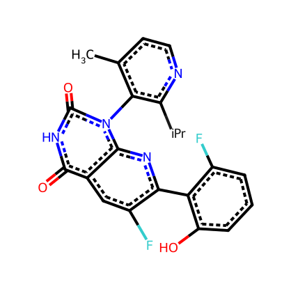 Cc1ccnc(C(C)C)c1-n1c(=O)[nH]c(=O)c2cc(F)c(-c3c(O)cccc3F)nc21